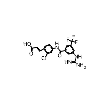 N=C(N)Nc1cc(C(=O)Nc2ccc(/C=C/C(=O)O)c(Cl)c2)cc(C(F)(F)F)c1